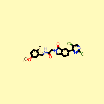 COc1ccc(C)c(CNC(=O)CN2Cc3ccc(-c4nc(Cl)ncc4Cl)cc3C2=O)c1